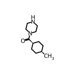 C[C@H]1CC[C@@H](C(=O)N2CCNCC2)CC1